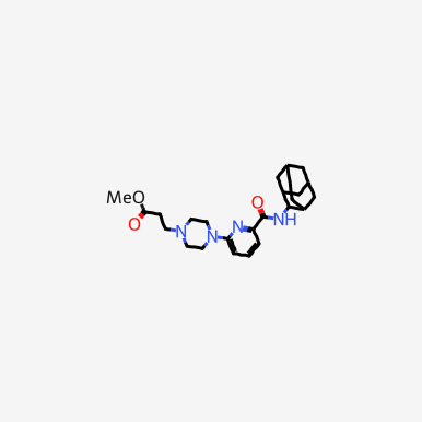 COC(=O)CCN1CCN(c2cccc(C(=O)NC3C4CC5CC(C4)CC3C5)n2)CC1